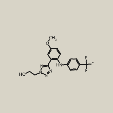 COc1ccc(Nc2ccc(C(F)(F)F)cc2)c(-c2nnn(CCO)n2)c1